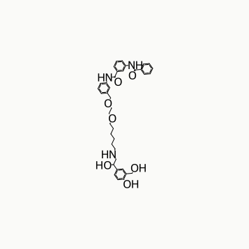 O=C(Nc1cccc(C(=O)Nc2cccc(COCCOCCCCCCNC[C@H](O)c3ccc(O)c(CO)c3)c2)c1)c1ccccc1